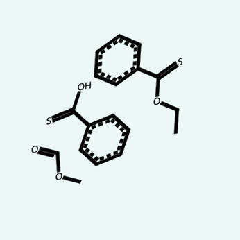 CCOC(=S)c1ccccc1.COC=O.OC(=S)c1ccccc1